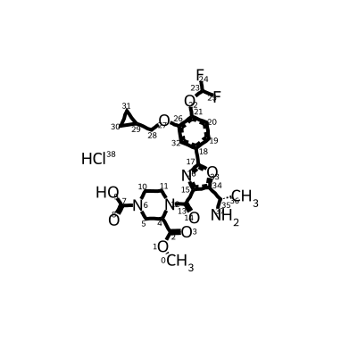 COC(=O)C1CN(C(=O)O)CCN1C(=O)c1nc(-c2ccc(OC(F)F)c(OCC3CC3)c2)oc1[C@H](C)N.Cl